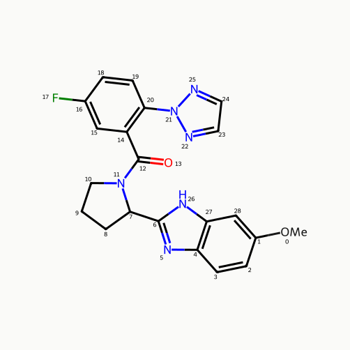 COc1ccc2nc(C3CCCN3C(=O)c3cc(F)ccc3-n3nccn3)[nH]c2c1